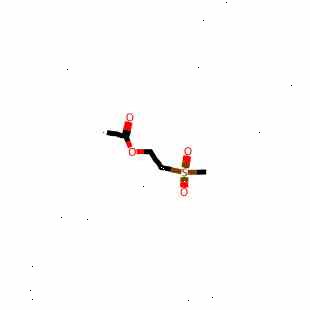 [CH2]C(=O)OCCS(C)(=O)=O